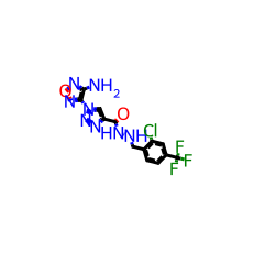 Nc1nonc1-n1cc(C(=O)NNCc2ccc(C(F)(F)F)cc2Cl)nn1